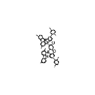 Cc1ccc(C)c(-c2cc3c4c(c2)-n2c5ccc(C)cc5c5cc(C)cc(c52)B4c2cc4c(cc2O3)Oc2cc(-c3cc(C)ccc3C)cc3c2B4c2c(C)ccc4c5cc(C)ccc5n-3c24)c1